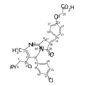 CC1=C(C(=O)CC(C)C)C(c2ccc(Cl)cc2)n2c(s/c(=C\c3ccc(OCC(=O)O)cc3)c2=O)=N1